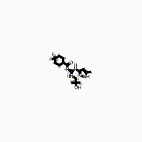 Cc1cc(N/C(=N\C(=O)C2CCC(F)(F)CC2)NCC(C)(C)O)n[nH]1